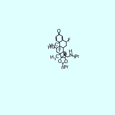 CCCC1OC2CC3C4C[C@H](F)C5=CC(=O)C=CC5(C)[C@@]4(F)C(O)CC3(C)C2(C(=O)CNC(C)C)O1